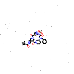 CC1(C)C[C@@H]1C(=O)N1CC2(CN(C(=O)c3cncs3)C[C@H]2C(=O)N2CCC[C@@H](N(CC(=O)NS(C)(=O)=O)CC3CCCCC3)C2)C1